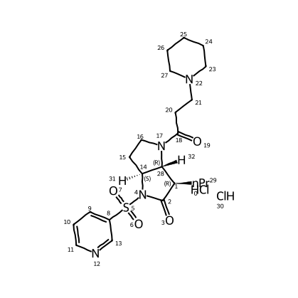 CCC[C@H]1C(=O)N(S(=O)(=O)c2cccnc2)[C@H]2CCN(C(=O)CCN3CCCCC3)[C@H]12.Cl.Cl